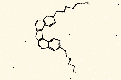 CCCCCCc1ccc2c(ccc3oc4ccc5cc(CCCCCC)ccc5c4c32)c1